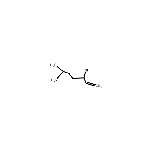 C=CC(O)CCC(C)N